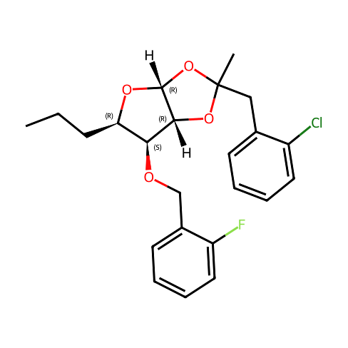 CCC[C@H]1O[C@@H]2OC(C)(Cc3ccccc3Cl)O[C@@H]2[C@H]1OCc1ccccc1F